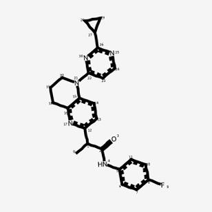 CC(C(=O)Nc1ccc(F)cc1)c1ccc2c(n1)CCCN2c1ccnc(C2CC2)n1